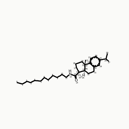 CCCCCCCCCCCCNC(=O)[C@@]1(C)CCC[C@]2(C)c3ccc(C(C)C)cc3CC[C@@H]12